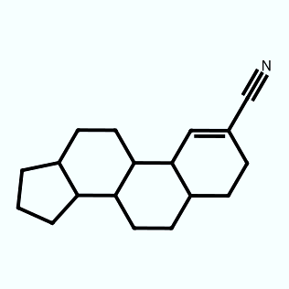 N#CC1=CC2C(CC1)CCC1C3CCCC3CCC21